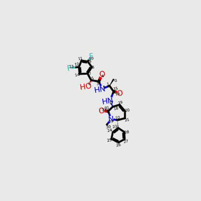 C[C@H](NC(=O)[C@@H](O)c1cc(F)cc(F)c1)C(=O)N[C@H]1C=CC[C@H](c2ccccc2)N(C)C1=O